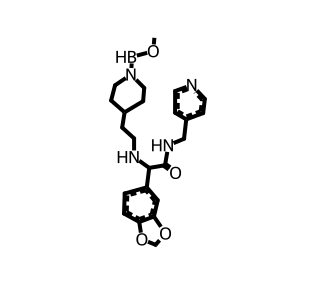 COBN1CCC(CCNC(C(=O)NCc2ccncc2)c2ccc3c(c2)OCO3)CC1